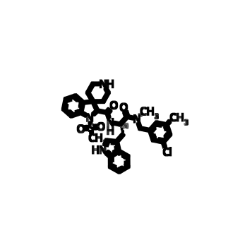 Cc1cc(Cl)cc(CN(C)C(=O)[C@H](Cc2c[nH]c3ccccc23)NC(=O)C2N(S(C)(=O)=O)c3ccccc3C23CCNCC3)c1